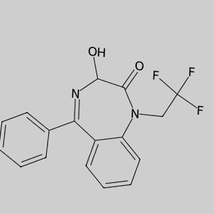 O=C1C(O)N=C(c2ccccc2)c2ccccc2N1CC(F)(F)F